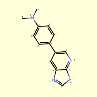 CN(C)c1ccc(-c2cnc3[nH][c]nc3c2)cc1